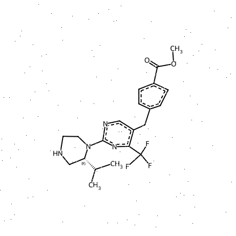 COC(=O)c1ccc(Cc2cnc(N3CCNC[C@H]3C(C)C)nc2C(F)(F)F)cc1